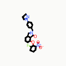 O=C1c2c(cccc2Oc2c(F)cccc2[N+](=O)[O-])CN1Cc1ccc(-n2cccn2)cc1